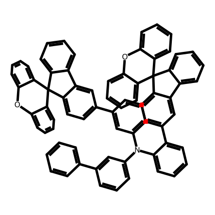 c1ccc(-c2cccc(N(c3cccc(-c4ccc5c(c4)-c4ccccc4C54c5ccccc5Oc5ccccc54)c3)c3ccccc3-c3ccc4c(c3)-c3ccccc3C43c4ccccc4Oc4ccccc43)c2)cc1